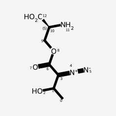 CC(O)C(=[N+]=[N-])C(=O)OC[C@H](N)C(=O)O